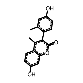 Cc1cc(O)ccc1-c1c(C)c2ccc(O)cc2oc1=O